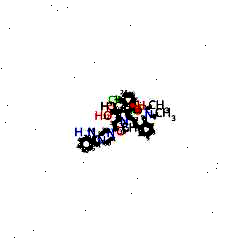 CCN(CC)Cc1ccccc1CCC1=C(C(=O)O)C(C)(c2c(Cl)cccc2Cl)C(C(=O)O)=C(CC(=O)N2CCN(CC3(CN)CCCCC3)CC2)N1C